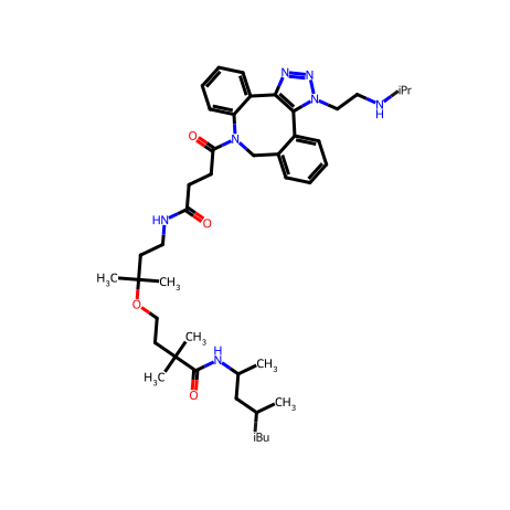 CCC(C)C(C)CC(C)NC(=O)C(C)(C)CCOC(C)(C)CCNC(=O)CCC(=O)N1Cc2ccccc2-c2c(nnn2CCNC(C)C)-c2ccccc21